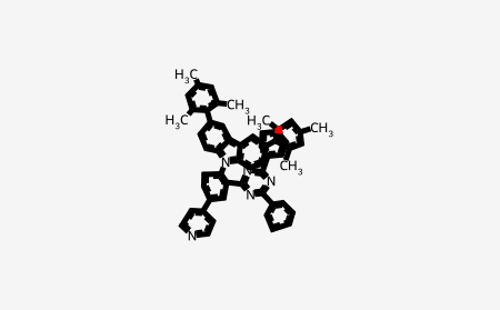 Cc1cc(C)c(-c2ccc3c(c2)c2cc(-c4c(C)cc(C)cc4C)ccc2n3-c2ccc(-c3ccncc3)cc2-c2nc(-c3ccccc3)nc(-c3ccccc3)n2)c(C)c1